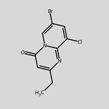 CCc1cc(=O)n2cc(Br)cc(Cl)c2n1